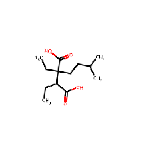 CCC(C(=O)O)C(CC)(CCC(C)C)C(=O)O